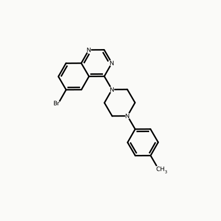 Cc1ccc(N2CCN(c3ncnc4ccc(Br)cc34)CC2)cc1